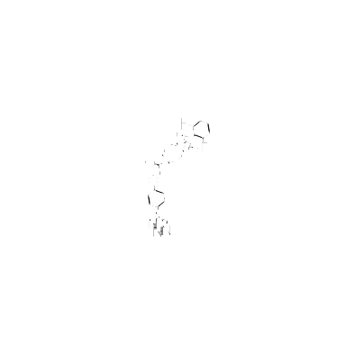 O=C(COc1ccc(-n2cnnn2)cc1)N1CCN(S(=O)(=O)c2c(F)cccc2F)CC1